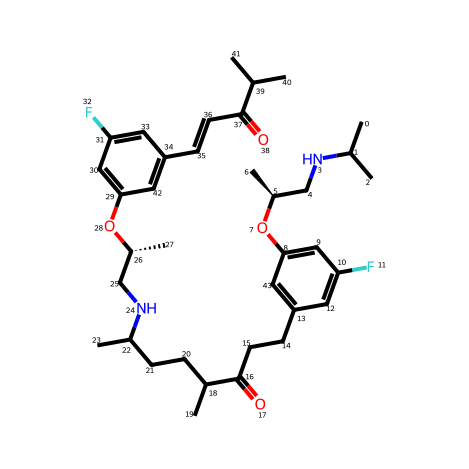 CC(C)NC[C@H](C)Oc1cc(F)cc(CCC(=O)C(C)CCC(C)NC[C@@H](C)Oc2cc(F)cc(/C=C/C(=O)C(C)C)c2)c1